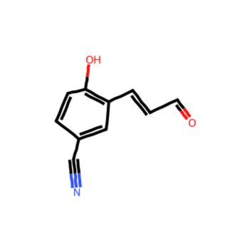 N#Cc1ccc(O)c(C=CC=O)c1